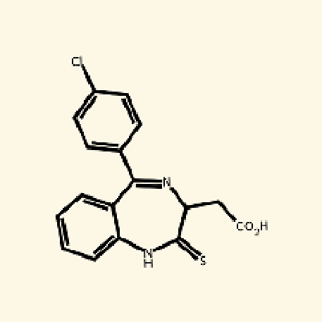 O=C(O)CC1N=C(c2ccc(Cl)cc2)c2ccccc2NC1=S